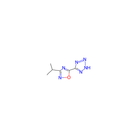 CC(C)c1noc(-c2nn[nH]n2)n1